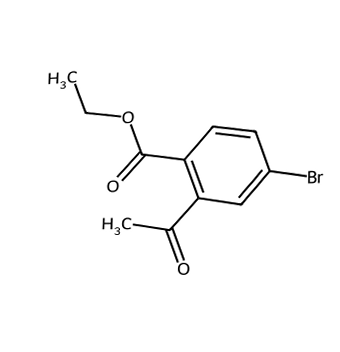 CCOC(=O)c1ccc(Br)cc1C(C)=O